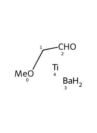 COCC=O.[BaH2].[Ti]